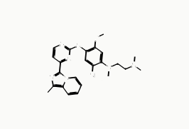 COc1cc(N(C)CCN(C)C)c(N)cc1Nc1nccc(-c2nc(C)c3ccccn23)n1